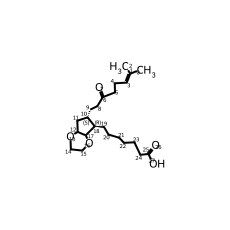 CC(C)=CCCC(=O)CC[C@H]1CC2OCCOC2[C@@H]1CCCCCCC(=O)O